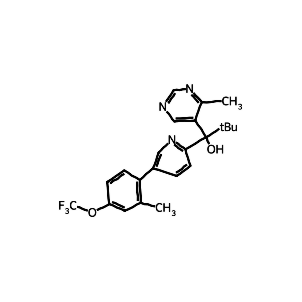 Cc1cc(OC(F)(F)F)ccc1-c1ccc(C(O)(c2cncnc2C)C(C)(C)C)nc1